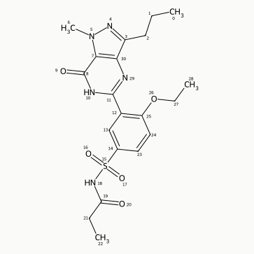 CCCc1nn(C)c2c(=O)[nH]c(-c3cc(S(=O)(=O)NC(=O)CC)ccc3OCC)nc12